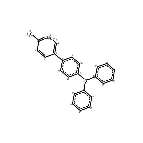 C=C(C)/C=C\C(=C/C)c1ccc(N(c2ccccc2)c2ccccc2)cc1